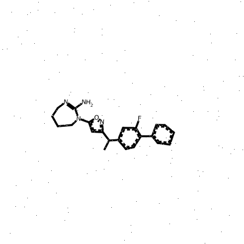 CC(c1ccc(-c2ccccc2)c(F)c1)c1cc(N2CCCCN=C2N)on1